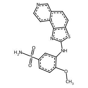 COc1ccc(S(N)(=O)=O)cc1Nc1nc2c(ccc3cnccc32)s1